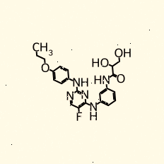 CCCOc1ccc(Nc2ncc(F)c(Nc3cccc(NC(=O)C(O)CO)c3)n2)cc1